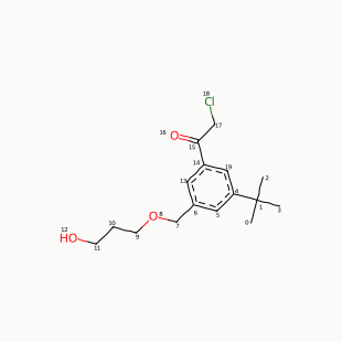 CC(C)(C)c1cc(COCCCO)cc(C(=O)CCl)c1